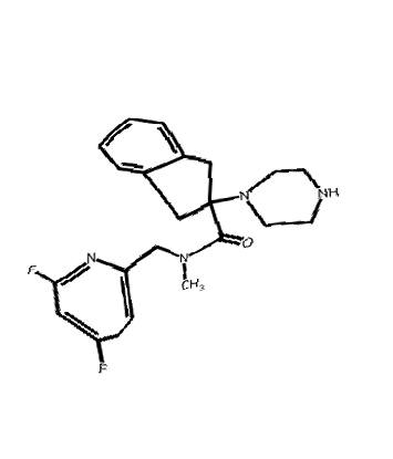 CN(Cc1cc(F)cc(F)n1)C(=O)C1(N2CCNCC2)Cc2ccccc2C1